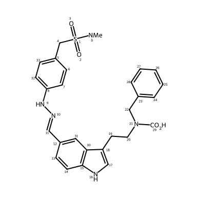 CNS(=O)(=O)Cc1ccc(NN=Cc2ccc3[nH]cc(CCN(Cc4ccccc4)C(=O)O)c3c2)cc1